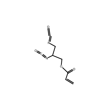 C=CC(=O)OCC(CN=C=O)N=C=O